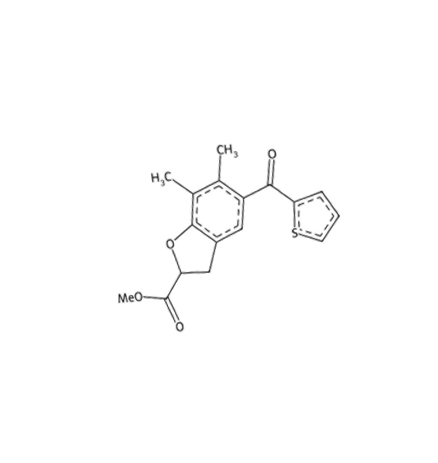 COC(=O)C1Cc2cc(C(=O)c3cccs3)c(C)c(C)c2O1